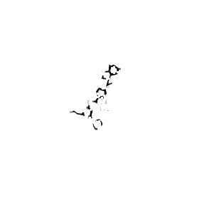 COc1ccc2c(c1)[C@]1(C[C@H]1c1ccc3c(Nc4nc(CCO)nc(N5CCOCC5)c4OC)n[nH]c3c1)C(=O)N2